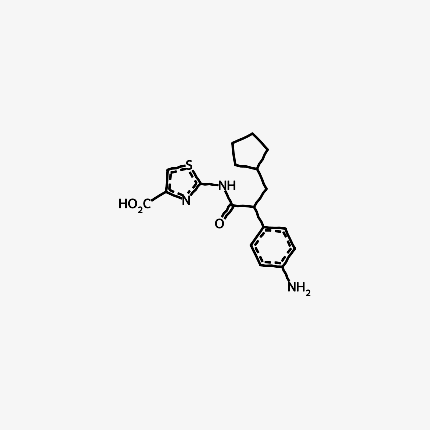 Nc1ccc(C(CC2CCCC2)C(=O)Nc2nc(C(=O)O)cs2)cc1